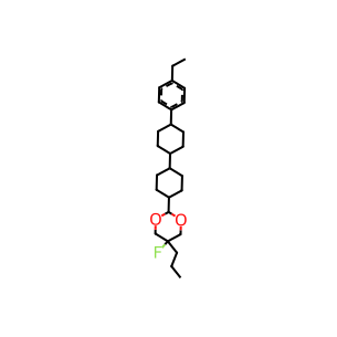 CCCC1(F)COC(C2CCC(C3CCC(c4ccc(CC)cc4)CC3)CC2)OC1